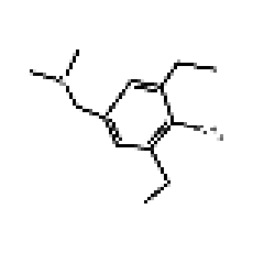 CCc1cc(CN(C)C)cc(CC)c1N